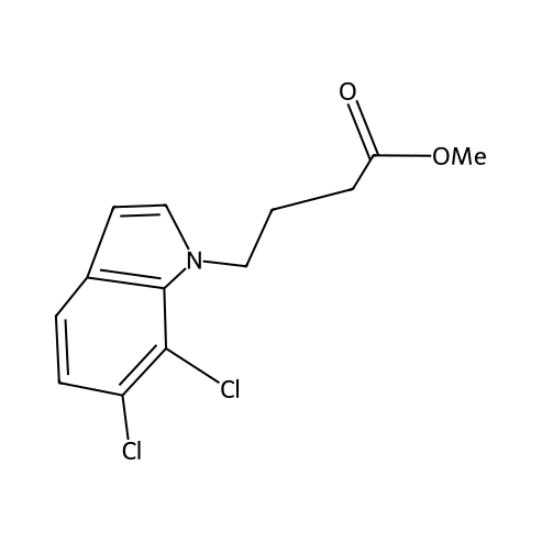 COC(=O)CCCn1ccc2ccc(Cl)c(Cl)c21